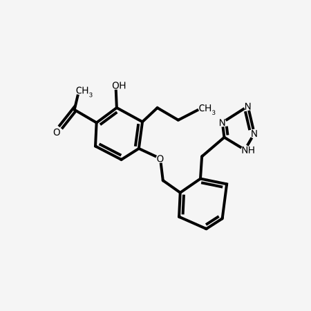 CCCc1c(OCc2ccccc2Cc2nnn[nH]2)ccc(C(C)=O)c1O